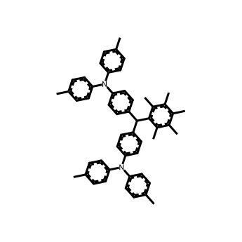 Cc1ccc(N(c2ccc(C)cc2)c2ccc(C(c3ccc(N(c4ccc(C)cc4)c4ccc(C)cc4)cc3)c3c(C)c(C)c(C)c(C)c3C)cc2)cc1